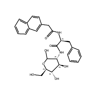 O=C(Cc1ccc2ccccc2c1)N[C@@H](Cc1ccccc1)C(=O)N[C@H]1C(O)O[C@H](CO)[C@@H](O)[C@@H]1O